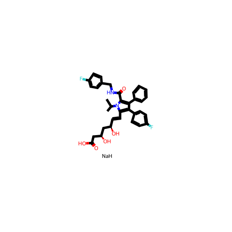 CC(C)n1c(/C=C/[C@@H](O)C[C@@H](O)CC(=O)O)c(-c2ccc(F)cc2)c(-c2ccccc2)c1C(=O)NCc1ccc(F)cc1.[NaH]